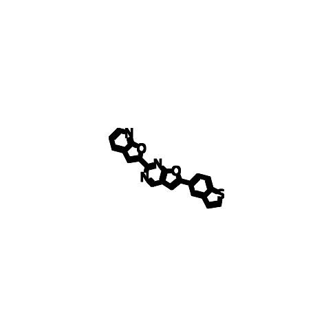 c1cnc2oc(-c3ncc4cc(-c5ccc6sccc6c5)oc4n3)cc2c1